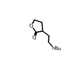 CCCCCCC1CCOC1=O